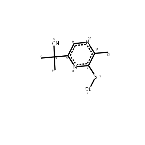 CCSc1nc(C(C)(C)C#N)cnc1C